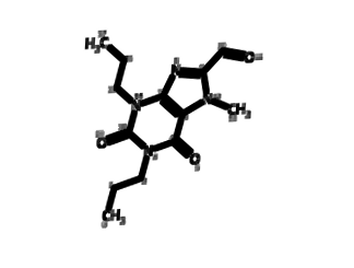 CCCn1c(=O)c2c(nc(C=O)n2C)n(CCC)c1=O